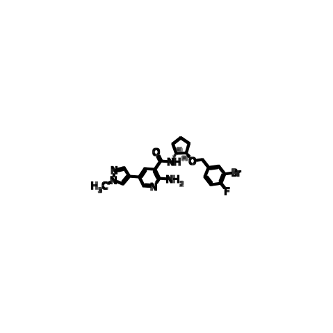 Cn1cc(-c2cnc(N)c(C(=O)N[C@@H]3CCC[C@H]3OCc3ccc(F)c(Br)c3)c2)cn1